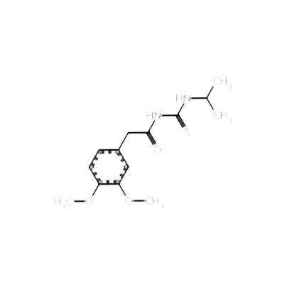 COc1ccc(CC(=O)NC(=S)NC(C)C)cc1OC